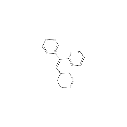 C(=C(c1ccccc1)c1ccccc1)C1CCCCC1